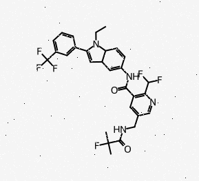 CCN1C(c2cccc(C(F)(F)F)c2)=CC2C=C(NC(=O)c3cc(CNC(=O)C(C)(C)F)cnc3C(F)F)C=CC21